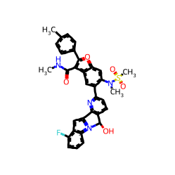 CNC(=O)c1c(-c2ccc(C)cc2)oc2cc(N(C)S(C)(=O)=O)c(-c3ccc4c(n3)-c3cc5c(F)cccc5n3C4O)cc12